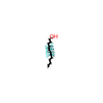 CCCCCC(F)(F)C(F)(F)C(F)(F)C(F)(F)CCCO